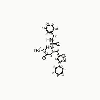 CC(C)(C)OC(=O)CN(Cc1cc(-c2ccccc2)no1)NC(=O)NCc1ccccc1